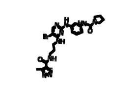 Cc1nnsc1C(=O)NCCCNc1nc(Nc2cccc(NC(=O)N3CCCC3)c2)ncc1Br